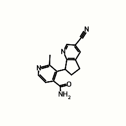 Cc1nccc(C(N)=O)c1C1CCc2cc(C#N)cnc21